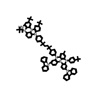 Cc1cc2c3c(c1)N(c1ccc(C(C)(C)CCC(C)(C)c4ccc(N5c6ccc(C(C)(C)C)cc6B6c7cc(C(C)(C)C)cc8c7N(c7cccc5c76)C(C)(C(C)(C)C)N8)cc4)cc1)c1cc(-n4c5ccccc5c5ccccc54)ccc1B3c1ccc(-n3c4ccccc4c4ccccc43)cc1N2c1ccc(C(C)(C)C)cc1